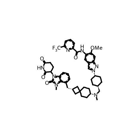 COc1cc2nn([C@H]3CC[C@H](CN(C)[C@H]4CCC5(CC4)C[C@@H](Cc4cccc6c4n(C)c(=O)n6C4CCC(=O)NC4=O)C5)CC3)cc2cc1NC(=O)c1cccc(C(F)(F)F)n1